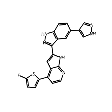 Fc1ccc(-c2ccnc3[nH]c(-c4n[nH]c5ccc(-c6cn[nH]c6)cc45)cc23)s1